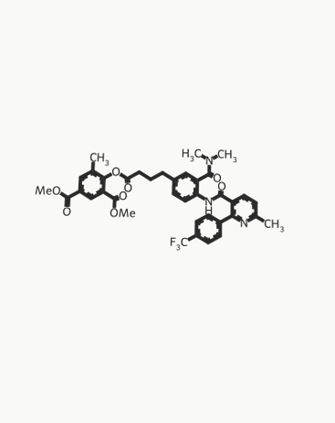 COC(=O)c1cc(C)c(OC(=O)CCCc2ccc(NC(=O)c3ccc(C)nc3-c3ccc(C(F)(F)F)cc3)c(C(=O)N(C)C)c2)c(C(=O)OC)c1